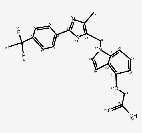 Cc1nc(-c2ccc(C(F)(F)F)cc2)sc1Cn1ccc2c(OCC(=O)O)cccc21